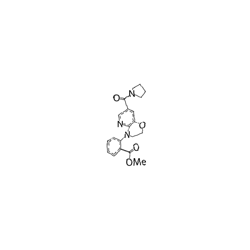 COC(=O)c1ccccc1N1CCOc2cc(C(=O)N3CCCC3)cnc21